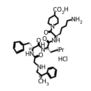 CC(C)C[C@H](NC(=O)[C@@H](Cc1ccccc1)NC(=O)CNC[C@H](C)c1ccccc1)C(=O)N[C@H](CCCCN)C(=O)N1CCC(C(=O)O)CC1.Cl